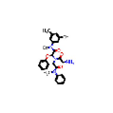 CCN(C(=O)C(Oc1ccccc1)N(CC(=O)N(C)c1ccccc1)C(=O)CN)c1cc(C)cc(C)c1